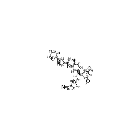 COc1cc(OC)cc(N(CCN2CCC(C#N)C2)c2ccc3ncc(-c4cnn(C5CCCCO5)c4)nc3c2)c1